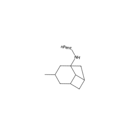 CCCCCNC12CC(C)CC3CC(C1)C32